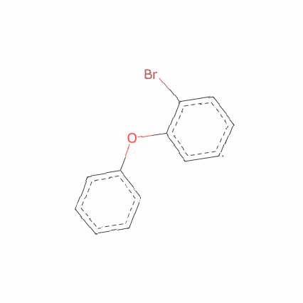 Brc1cc[c]cc1Oc1ccccc1